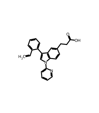 C=Cc1ccccc1-c1cn(-c2ccccn2)c2ccc(CCC(=O)O)cc12